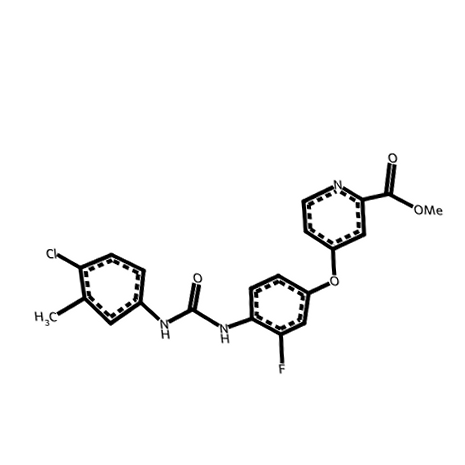 COC(=O)c1cc(Oc2ccc(NC(=O)Nc3ccc(Cl)c(C)c3)c(F)c2)ccn1